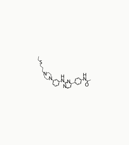 CCSCCCN1CCN(c2cccc(Nc3nccc(-c4ccc(NC(C)=O)cc4)n3)c2)CC1